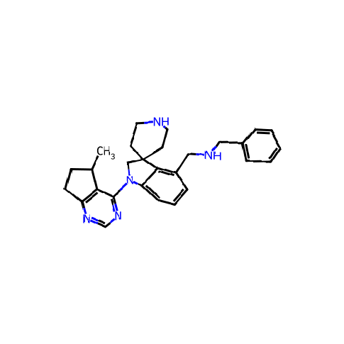 CC1CCc2ncnc(N3CC4(CCNCC4)c4c(CNCc5ccccc5)cccc43)c21